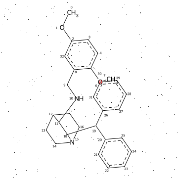 COc1ccc(OC)c(CNC2C3CCN(CC3)C2C(c2ccccc2)c2ccccc2)c1